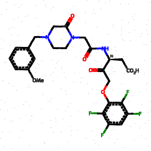 COc1cccc(CN2CCN(CC(=O)N[C@@H](CC(=O)O)C(=O)COc3c(F)c(F)cc(F)c3F)C(=O)C2)c1